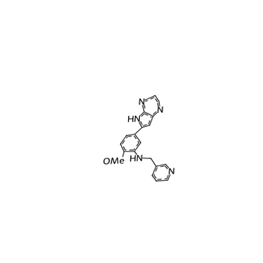 COc1ccc(-c2cc3nccnc3[nH]2)cc1NCc1cccnc1